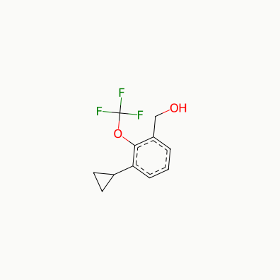 OCc1cccc(C2CC2)c1OC(F)(F)F